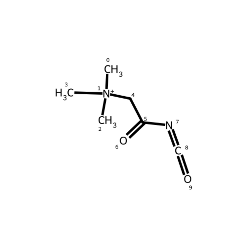 C[N+](C)(C)CC(=O)N=C=O